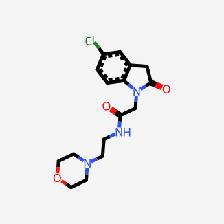 O=C(CN1C(=O)Cc2cc(Cl)ccc21)NCCN1CCOCC1